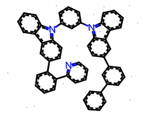 c1ccc(-c2cccc(-c3ccc4c(c3)c3ccccc3n4-c3cccc(-n4c5ccccc5c5cc(-c6ccccc6-c6ccccn6)ccc54)c3)c2)cc1